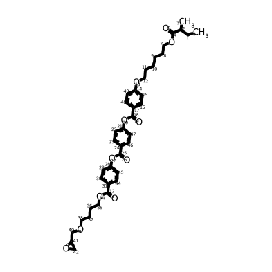 CCC(C)C(=O)OCCCCCCOc1ccc(C(=O)Oc2ccc(C(=O)Oc3ccc(C(=O)OCCCCOCC4CO4)cc3)cc2)cc1